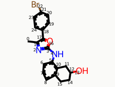 Cc1nc(Nc2cccc3c2CC(O)CC3)oc1-c1ccc(Br)cc1